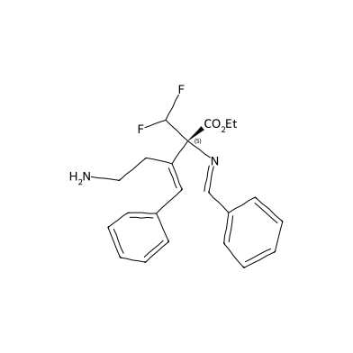 CCOC(=O)[C@@](N=Cc1ccccc1)(C(=Cc1ccccc1)CCN)C(F)F